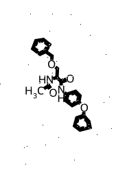 CC(=O)NC(COCc1ccccc1)C(=O)Nc1ccc(Oc2ccccc2)cc1